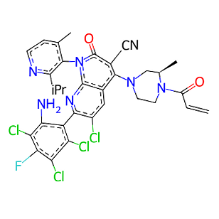 C=CC(=O)N1CCN(c2c(C#N)c(=O)n(-c3c(C)ccnc3C(C)C)c3nc(-c4c(N)c(Cl)c(F)c(Cl)c4Cl)c(Cl)cc23)C[C@H]1C